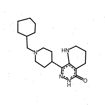 O=c1[nH]nc(C2CCN(CC3CCCCC3)CC2)c2c1CCCN2